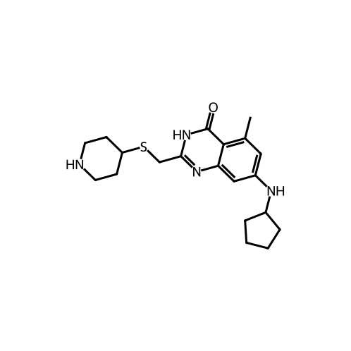 Cc1cc(NC2CCCC2)cc2nc(CSC3CCNCC3)[nH]c(=O)c12